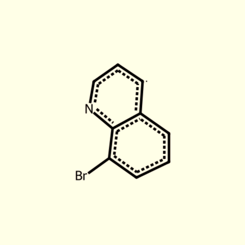 Brc1cccc2[c]ccnc12